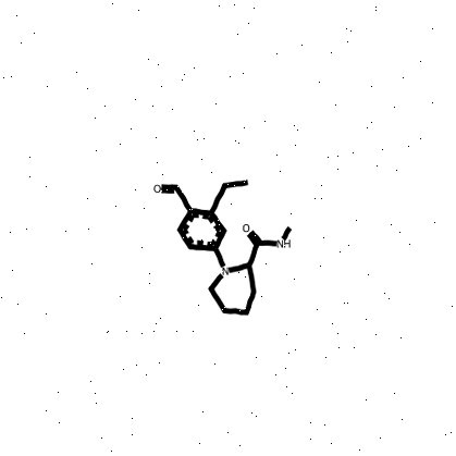 CCc1cc(N2CCCCC2C(=O)NC)ccc1C=O